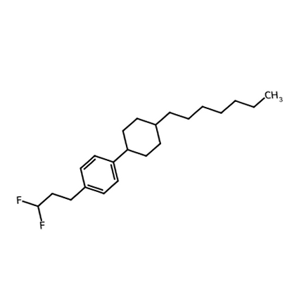 CCCCCCCC1CCC(c2ccc(CCC(F)F)cc2)CC1